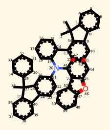 CC1(C)c2ccccc2-c2cccc(-c3ccccc3N(c3ccc4c(c3)C(C)(c3ccccc3)c3ccccc3-4)c3cccc4oc5ccccc5c34)c21